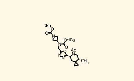 CC(=O)N1C[C@H](C)C2(CC2)C[C@H]1c1nnc(CN(C(=O)OC(C)(C)C)C2CN(C(=O)OC(C)(C)C)C2)o1